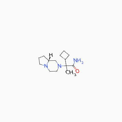 CC(C(N)=O)(C1CCC1)N1CCN2CCC[C@@H]2C1